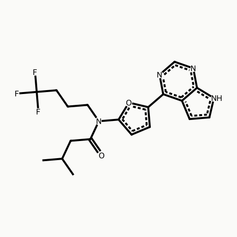 CC(C)CC(=O)N(CCCC(F)(F)F)c1ccc(-c2ncnc3[nH]ccc23)o1